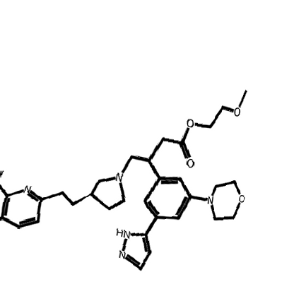 COCCOC(=O)CC(CN1CC[C@@H](CCc2ccc3c(n2)NCCC3)C1)c1cc(-c2ccn[nH]2)cc(N2CCOCC2)c1